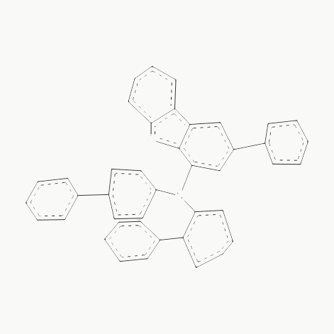 c1ccc(-c2ccc(N(c3ccccc3-c3ccccc3)c3cc(-c4ccccc4)cc4c3oc3ccccc34)cc2)cc1